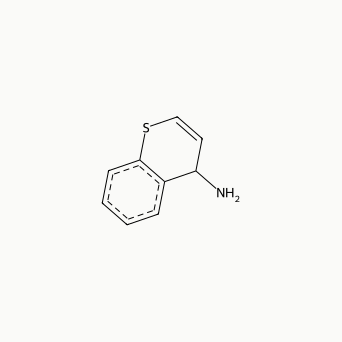 NC1C=CSc2ccccc21